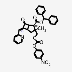 C[C@@]1(COC(=O)Oc2ccc([N+](=O)[O-])cc2)CC2/C(=C\c3ccccn3)C(=O)C2[C@H]1C(=O)OC(c1ccccc1)c1ccccc1